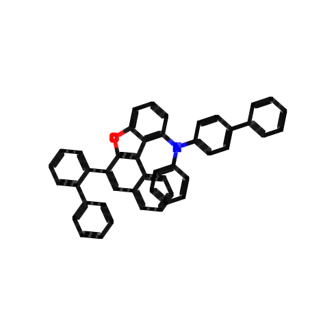 c1ccc(-c2ccc(N(c3ccccc3)c3cccc4oc5c(-c6ccccc6-c6ccccc6)cc6ccccc6c5c34)cc2)cc1